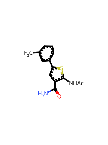 CC(=O)Nc1sc(-c2cccc(C(F)(F)F)c2)cc1C(N)=O